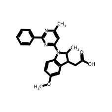 COc1ccc2c(c1)C(CC(=O)O)C(C)N2c1cc(C)nc(-c2ccccc2)n1